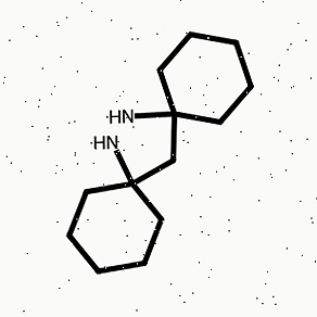 [NH]C1(CC2([NH])CCCCC2)CCCCC1